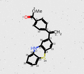 C=C(c1ccc(C(=O)OC)cc1)c1ccc2c(c1)Nc1ccccc1S2